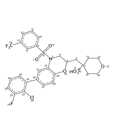 O=C(O)C1(CC2CN(S(=O)(=O)c3cccc(C(F)(F)F)c3)c3cc(-c4cccc(F)c4Cl)ccc3O2)CCOCC1